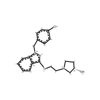 O[C@H]1CCN(CCOc2nn(Cc3ccc(Cl)cc3)c3ccccc23)C1